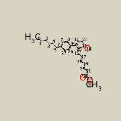 CCCCCCc1ccc(C2CCC(=O)[C@@H]2CCCCCCC(=O)OC)cc1